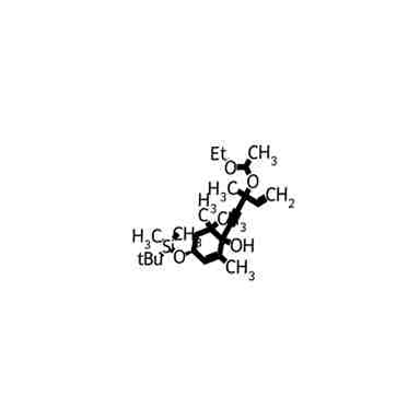 C=CC(C)(C#CC1(O)C(C)=C[C@@H](O[Si](C)(C)C(C)(C)C)CC1(C)C)OC(C)OCC